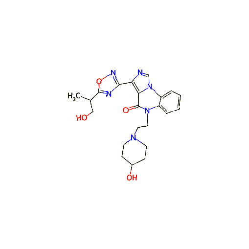 CC(CO)c1nc(-c2ncn3c2c(=O)n(CCN2CCC(O)CC2)c2ccccc23)no1